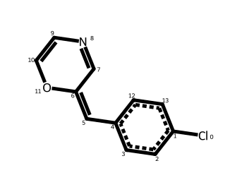 Clc1ccc(C=C2C=NC=CO2)cc1